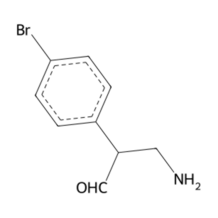 NCC(C=O)c1ccc(Br)cc1